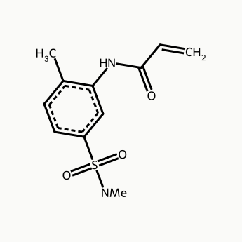 C=CC(=O)Nc1cc(S(=O)(=O)NC)ccc1C